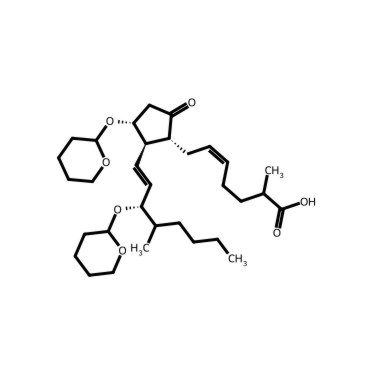 CCCCC(C)[C@@H](/C=C/[C@H]1[C@H](OC2CCCCO2)CC(=O)[C@@H]1C/C=C\CCC(C)C(=O)O)OC1CCCCO1